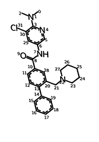 CN(C)c1ncc(NC(=O)c2ccc(-c3ccccc3)c(CN3CCCCC3)c2)cc1Cl